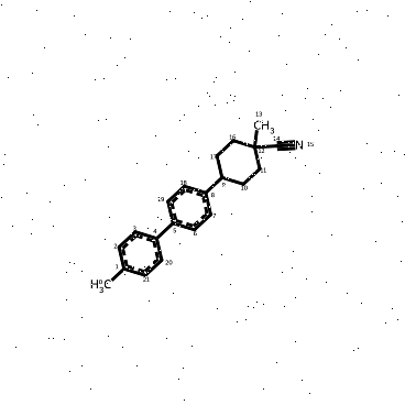 Cc1ccc(-c2ccc(C3CCC(C)(C#N)CC3)cc2)cc1